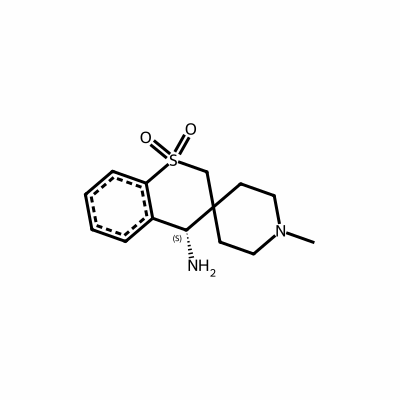 CN1CCC2(CC1)CS(=O)(=O)c1ccccc1[C@H]2N